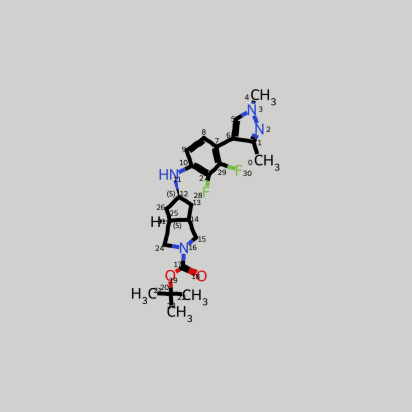 Cc1nn(C)cc1-c1ccc(N[C@H]2CC3CN(C(=O)OC(C)(C)C)C[C@H]3C2)c(F)c1F